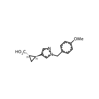 COc1ccc(Cn2cc([C@H]3C[C@@H]3C(=O)O)cn2)cc1